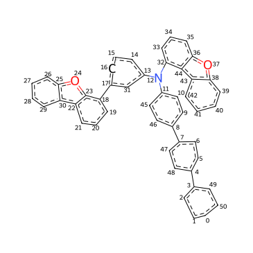 c1ccc(-c2ccc(-c3ccc(N(c4cccc(-c5cccc6c5oc5ccccc56)c4)c4cccc5oc6ccccc6c45)cc3)cc2)cc1